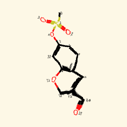 CS(=O)(=O)Oc1ccc2c(c1)OCC(C=O)=C2